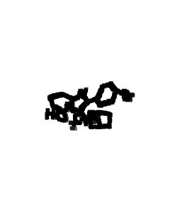 O=C(O)N1CC2CCC(C1)N2Cc1c(-c2ccc(Br)cc2)nc2ccccn12